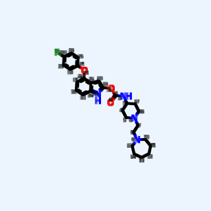 O=C(NC1CCN(CCN2CCCCCC2)CC1)Oc1cc2c(Oc3ccc(F)cc3)cccc2[nH]1